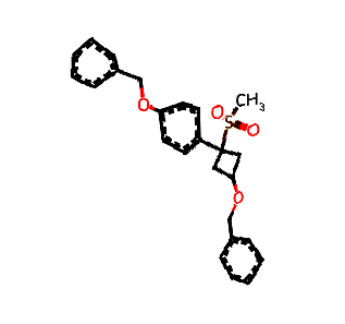 CS(=O)(=O)C1(c2ccc(OCc3ccccc3)cc2)CC(OCc2ccccc2)C1